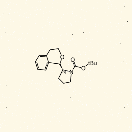 CC(C)(C)OC(=O)N1CCC[C@H]1C1OCCc2ccccc21